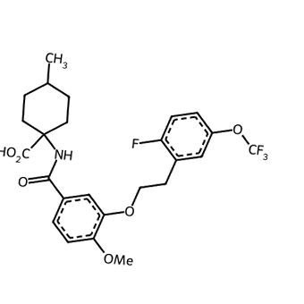 COc1ccc(C(=O)NC2(C(=O)O)CCC(C)CC2)cc1OCCc1cc(OC(F)(F)F)ccc1F